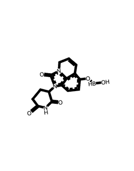 O=C1CCC(n2c(=O)n3c4c(c(OBO)ccc42)C=CC3)C(=O)N1